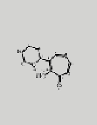 O=c1ccccc(C2CCCCO2)c1O